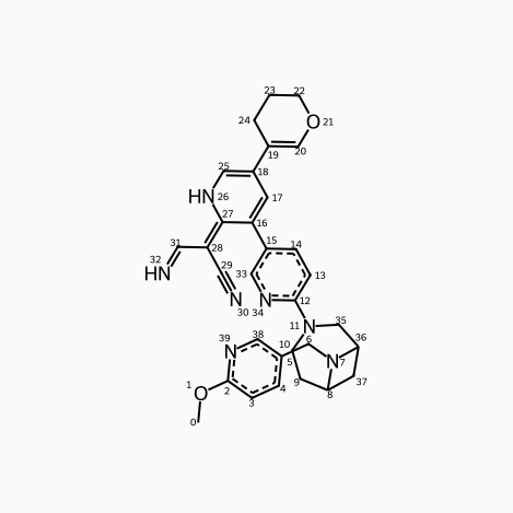 COc1ccc(CN2C3CCN(c4ccc(C5=CC(C6=COCCC6)=CN/C5=C(/C#N)C=N)cn4)CC2C3)cn1